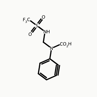 O=C(O)N(CNS(=O)(=O)C(F)(F)F)c1c#cccc1